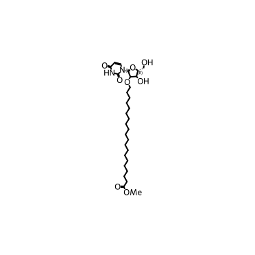 COC(=O)CCCCCCCCCCCCCCCCCCCOC1C(O)[C@@H](CO)O[C@H]1n1ccc(=O)[nH]c1=O